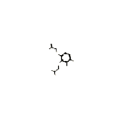 CC(C)COc1ccc(Br)c(Br)c1OCC(C)C